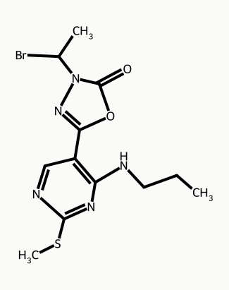 CCCNc1nc(SC)ncc1-c1nn(C(C)Br)c(=O)o1